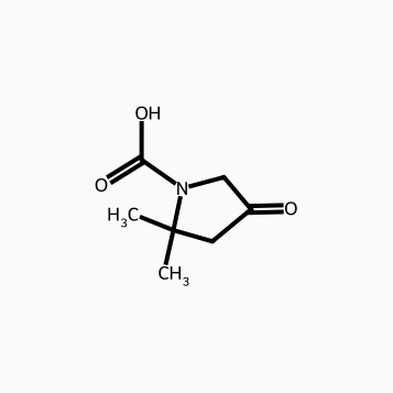 CC1(C)CC(=O)CN1C(=O)O